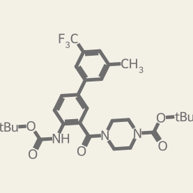 Cc1cc(-c2ccc(NC(=O)OC(C)(C)C)c(C(=O)N3CCN(C(=O)OC(C)(C)C)CC3)c2)cc(C(F)(F)F)c1